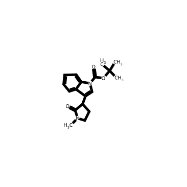 CN1CCC(c2cn(C(=O)OC(C)(C)C)c3ccccc23)C1=O